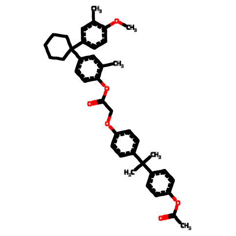 COc1ccc(C2(c3ccc(OC(=O)COc4ccc(C(C)(C)c5ccc(OC(C)=O)cc5)cc4)c(C)c3)CCCCC2)cc1C